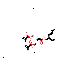 C=C(C)C(=O)OC.C=C(C)C(=O)OC.C=CC(=O)OCC(CC)CCCC